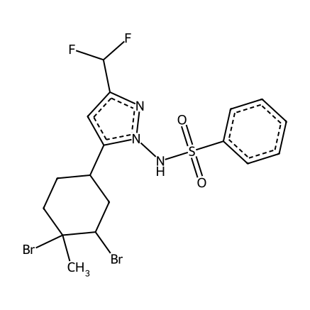 CC1(Br)CCC(c2cc(C(F)F)nn2NS(=O)(=O)c2ccccc2)CC1Br